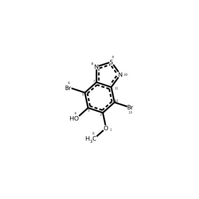 COc1c(O)c(Br)c2nsnc2c1Br